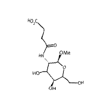 CO[C@H]1OC(CO)[C@@H](O)C(O)[C@@H]1NC(=O)CCC(=O)O